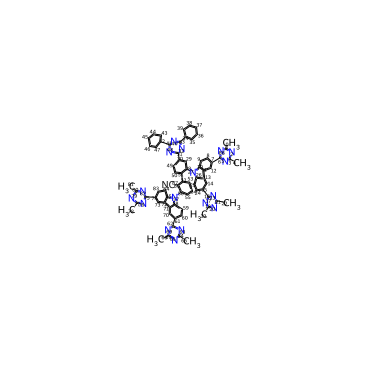 Cc1nc(C)nc(-c2ccc3c(c2)c2cc(-c4nc(C)nc(C)n4)ccc2n3-c2cc(-c3nc(-c4ccccc4)nc(-c4ccccc4)n3)ccc2-c2cccc(-n3c4ccc(-c5nc(C)nc(C)n5)cc4c4cc(-c5nc(C)nc(C)n5)ccc43)c2C#N)n1